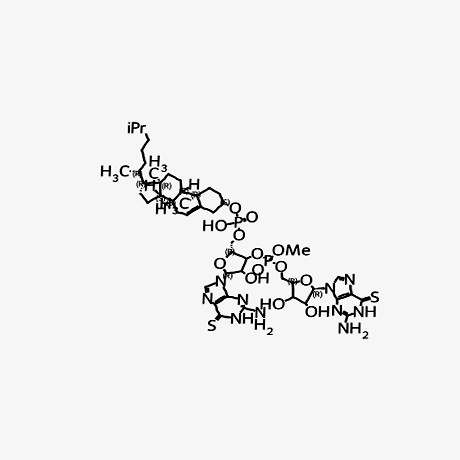 COP(=O)(OC[C@H]1O[C@@H](n2cnc3c(=S)[nH]c(N)nc32)C(O)C1O)OC1C(O)[C@H](n2cnc3c(=S)[nH]c(N)nc32)O[C@@H]1COP(=O)(O)O[C@H]1CC[C@@]2(C)C(=CC[C@H]3[C@@H]4CC[C@H]([C@H](C)CCCC(C)C)[C@@]4(C)CC[C@@H]32)C1